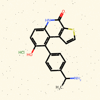 CC(N)c1ccc(-c2c(O)ccc3[nH]c(=O)c4sccc4c23)cc1.Cl